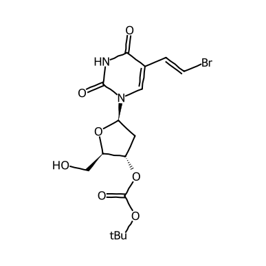 CC(C)(C)OC(=O)O[C@H]1C[C@H](n2cc(/C=C/Br)c(=O)[nH]c2=O)O[C@@H]1CO